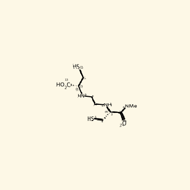 CNC(=O)[C@H](CS)NCCN[C@@H](CS)C(=O)O